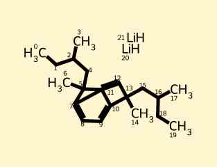 CCC(C)CC1(C)C2=CC=C3C1=C2C3(C)CC(C)CC.[LiH].[LiH]